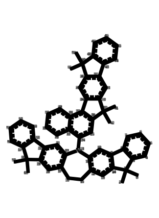 CC1(C)c2ccccc2-c2cc3c(cc21)CCc1cc2c(cc1N3c1cc3c(c4ccccc14)-c1cc4c(cc1C3(C)C)-c1ccccc1C4(C)C)-c1ccccc1C2(C)C